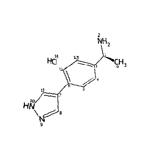 C[C@H](N)c1ccc(-c2cn[nH]c2)cc1.Cl